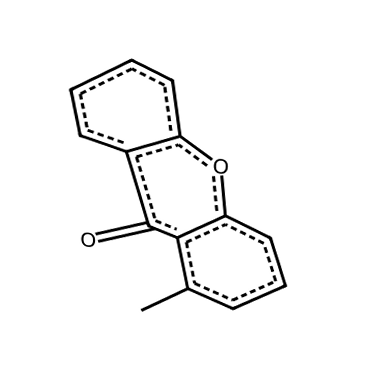 Cc1cccc2oc3ccccc3c(=O)c12